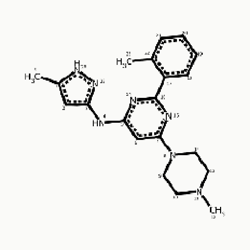 Cc1cc(Nc2cc(N3CCN(C)CC3)nc(-c3ccccc3C)n2)n[nH]1